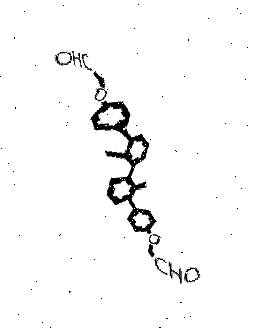 Cc1c(-c2ccc(OCC=O)cc2)cccc1-c1cccc(-c2ccc(OCC=O)cc2)c1C